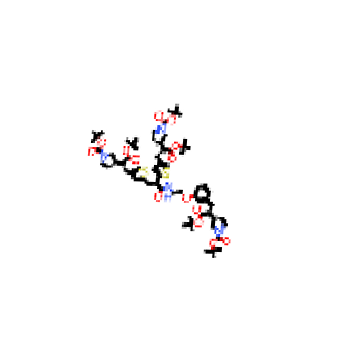 CC(C)(C)OC(=O)[C@@H](Cc1cccc(OCCNC(=O)C(Cc2cc(C[C@H](C(=O)OC(C)(C)C)[C@H]3CCN(C(=O)OC(C)(C)C)C3)cs2)c2cc(C[C@H](C(=O)OC(C)(C)C)[C@H]3CCN(C(=O)OC(C)(C)C)C3)cs2)c1)[C@H]1CCN(C(=O)OC(C)(C)C)C1